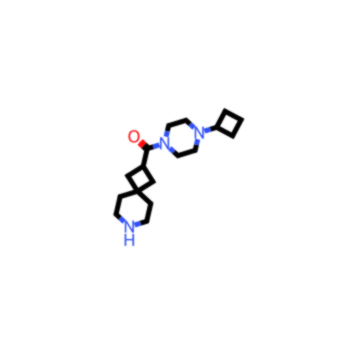 O=C(C1CC2(CCNCC2)C1)N1CCN(C2CCC2)CC1